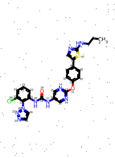 CCCNc1ncc(-c2ccc(Oc3ncc(NC(=O)Nc4cccc(Cl)c4-n4ccnn4)cn3)cc2)s1